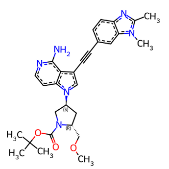 COC[C@H]1C[C@H](n2cc(C#Cc3ccc4nc(C)n(C)c4c3)c3c(N)nccc32)CN1C(=O)OC(C)(C)C